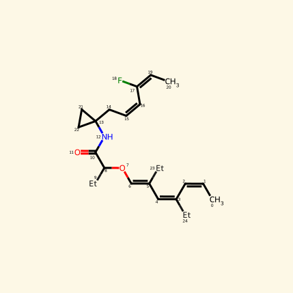 C\C=C/C(=C\C(=C\OC(CC)C(=O)NC1(C/C=C\C(F)=C/C)CC1)CC)CC